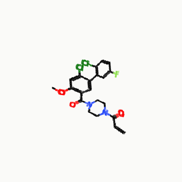 C=CC(=O)N1CCN(C(=O)c2cc(-c3cc(F)ccc3Cl)c(Cl)cc2OC)CC1